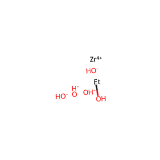 CCO.[OH-].[OH-].[OH-].[OH-].[Zr+4]